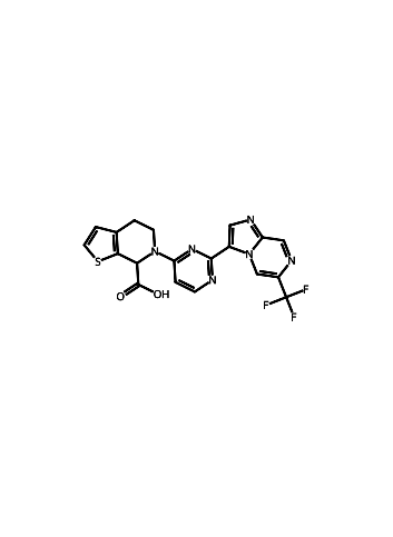 O=C(O)C1c2sccc2CCN1c1ccnc(-c2cnc3cnc(C(F)(F)F)cn23)n1